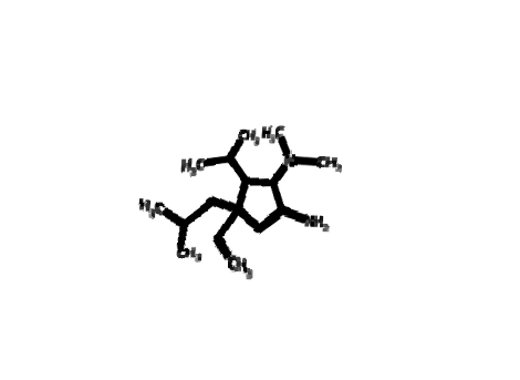 CCC1(CC(C)C)CC(N)C(N(C)C)C1C(C)C